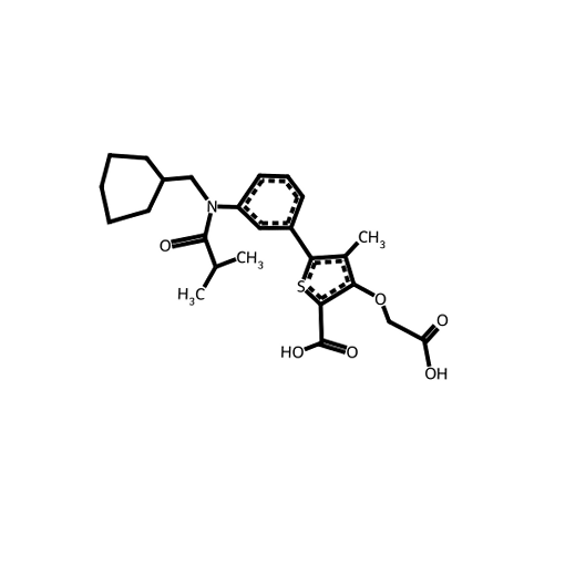 Cc1c(-c2cccc(N(CC3CCCCC3)C(=O)C(C)C)c2)sc(C(=O)O)c1OCC(=O)O